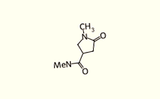 CNC(=O)C1CC(=O)N(C)C1